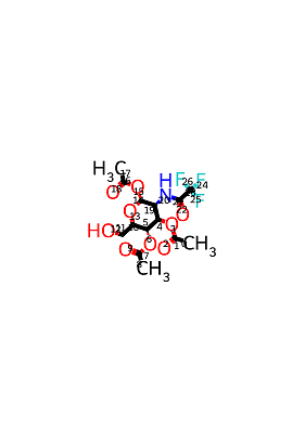 CC(=O)OC1[C@H](OC(C)=O)C(CO)O[C@@H](OC(C)=O)[C@H]1NC(=O)C(F)(F)F